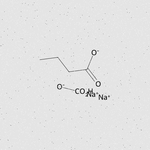 CCCC(=O)[O-].O=C([O-])O.[Na+].[Na+]